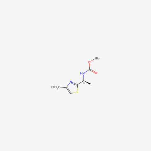 CCOC(=O)c1csc([C@H](C)NC(=O)OC(C)(C)C)n1